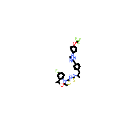 CC(Cc1ccc(-c2ncn(-c3ccc(OC(F)(F)F)cc3)n2)cc1)NC(=S)/N=C1\SCC(=O)N1c1ccc(F)cc1C(C)C